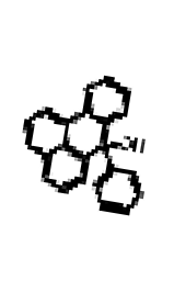 OC1(c2ccccc2)c2ccccc2-c2cccc3cccc1c23